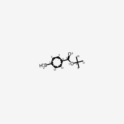 Bc1ccc(C(=O)OC(C)(C)C)cc1